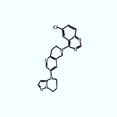 Clc1ccc2ncnc(N3CCc4ncc(N5CCCn6nccc65)cc4C3)c2c1